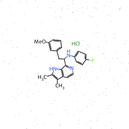 COc1cccc(CC(Nc2ccc(F)cc2)c2nccc3c(C)c(C)[nH]c23)c1.Cl